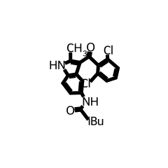 CCC(C)C(=O)Nc1ccc2[nH]c(C)c(C(=O)c3c(Cl)cccc3Cl)c2c1